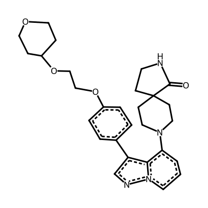 O=C1NCCC12CCN(c1cccn3ncc(-c4ccc(OCCOC5CCOCC5)cc4)c13)CC2